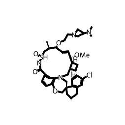 CO[C@H]1/C=C/[C@H](OCCN2CC(N(C)C)C2)[C@H](C)C/[SH](=O)=N\C(=O)c2ccc3c(c2)N(C[C@@H]2CC[C@H]21)C[C@@]1(CCCc2cc(Cl)ccc21)CO3